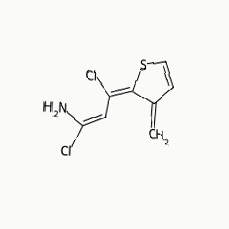 C=c1ccs/c1=C(Cl)/C=C(\N)Cl